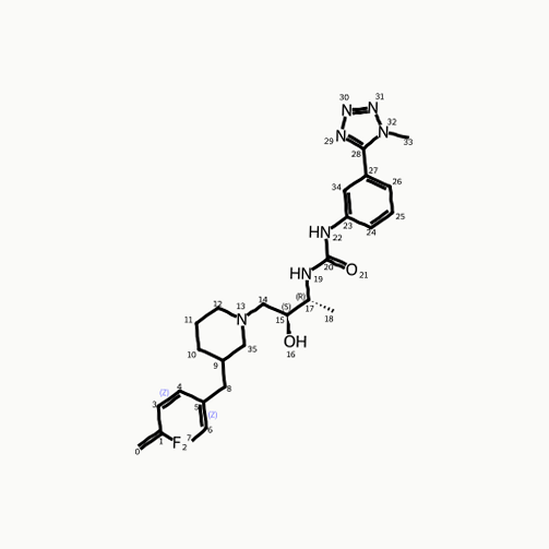 C=C(F)/C=C\C(=C/C)CC1CCCN(C[C@H](O)[C@@H](C)NC(=O)Nc2cccc(-c3nnnn3C)c2)C1